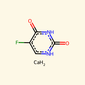 O=c1[nH]cc(F)c(=O)[nH]1.[CaH2]